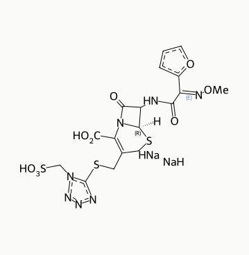 CO/N=C(/C(=O)NC1C(=O)N2C(C(=O)O)=C(CSc3nnnn3CS(=O)(=O)O)CS[C@H]12)c1ccco1.[NaH].[NaH]